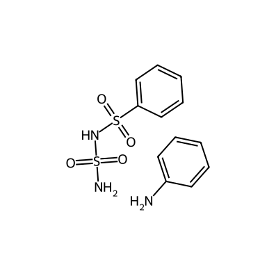 NS(=O)(=O)NS(=O)(=O)c1ccccc1.Nc1ccccc1